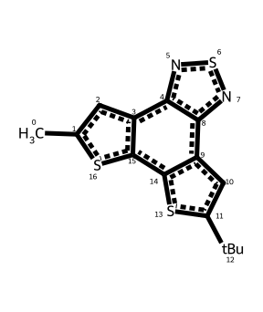 Cc1cc2c3nsnc3c3cc(C(C)(C)C)sc3c2s1